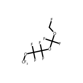 FCOC(F)(F)OC(F)(F)C(F)(F)OC(F)(F)F